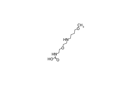 COCCCCNCCOCCNC(=O)O